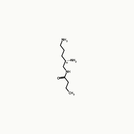 CCCC(=O)NC[C@@H](N)CCCN